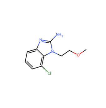 COCCn1c(N)nc2cccc(Cl)c21